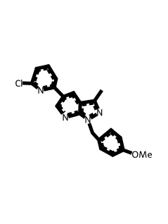 COc1ccc(Cn2nc(C)c3cc(-c4cccc(Cl)n4)cnc32)cc1